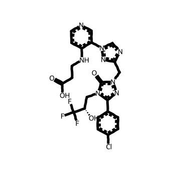 O=C(O)CCNc1ccncc1-n1cnc(Cn2nc(-c3ccc(Cl)cc3)n(C[C@H](O)C(F)(F)F)c2=O)n1